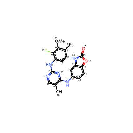 CCc1ccc(Nc2ncc(C)c(Nc3ccc4oc(=O)[nH]c4c3)n2)c(F)c1OC